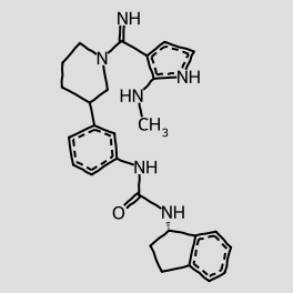 CNc1[nH]ccc1C(=N)N1CCCC(c2cccc(NC(=O)N[C@H]3CCc4ccccc43)c2)C1